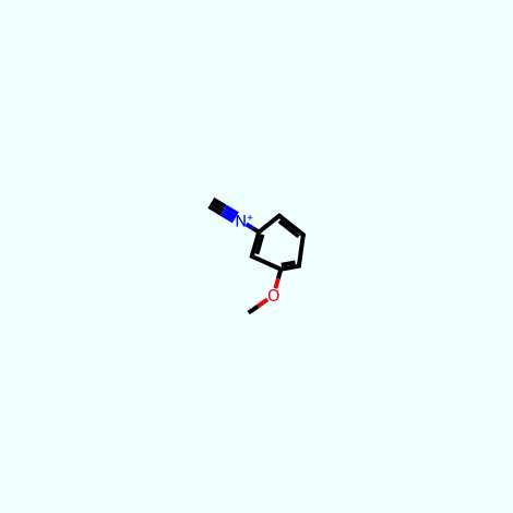 C#[N+]c1cccc(OC)c1